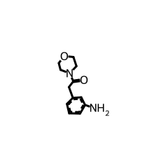 Nc1cccc(CC(=O)N2CCOCC2)c1